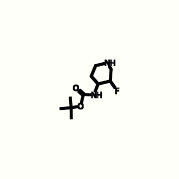 CC(C)(C)OC(=O)NC1CCNCC1F